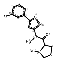 CN(C(=O)C1CCCN1C#N)c1cc(-c2cccc(Cl)c2)on1